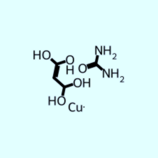 NC(N)=O.OC(O)=CC(O)O.[Cu]